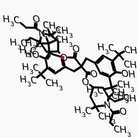 CCC(=O)N1C(C)(C)CC(OC(=O)C(Cc2cc(C(C)(C)C)c(O)c(C(C)(C)C)c2)(Cc2cc(C(C)(C)C)c(O)c(C(C)(C)C)c2)C(=O)OC2CC(C)(C)N(C(=O)CC)C(C)(CC)C2)CC1(C)CC